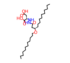 CCCCCCCCCCCCO[C@H](CCCCCCCCCCC)CC(=O)NN[C@H](CC(=O)O)C(=O)O